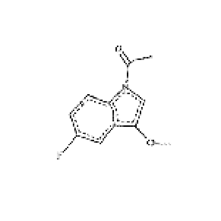 COc1cn(C(C)=O)c2ccc(F)cc12